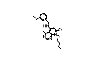 CCCCOn1c(=O)cc(NCc2cccc(NC)c2)c2c(C)ncnc21